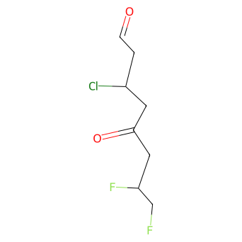 O=CCC(Cl)CC(=O)CC(F)CF